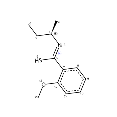 CC[C@@H](C)/N=C(\S)c1ccccc1OC